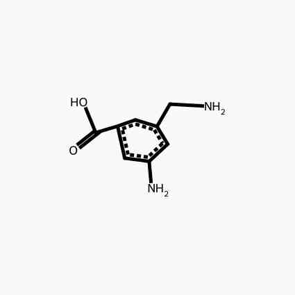 NCc1cc(N)cc(C(=O)O)c1